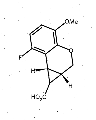 COc1ccc(F)c2c1OC[C@@H]1C(C(=O)O)[C@H]21